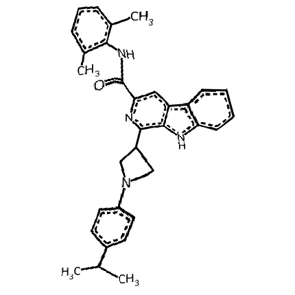 Cc1cccc(C)c1NC(=O)c1cc2c([nH]c3ccccc32)c(C2CN(c3ccc(C(C)C)cc3)C2)n1